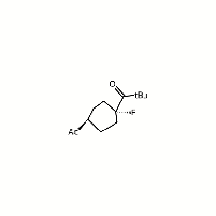 CC(=O)[C@H]1CC[C@@](F)(C(=O)C(C)(C)C)CC1